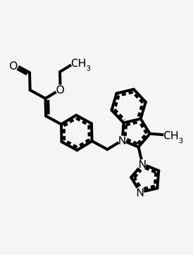 CCOC(=Cc1ccc(Cn2c(-n3ccnc3)c(C)c3ccccc32)cc1)CC=O